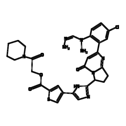 N/N=C\N(N)c1ccc(Cl)cc1-c1cc(=O)n2c(n1)CCC2c1ncc(-c2csc(C(=O)OCC(=O)N3CCCCC3)c2)[nH]1